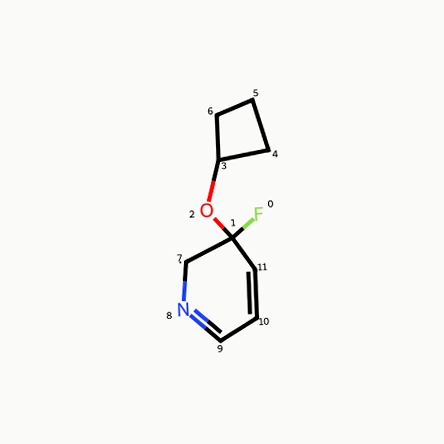 FC1(OC2CCC2)[CH]N=CC=C1